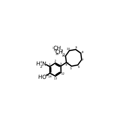 Nc1cc([C]2CCCCCCC2)ccc1O.[CH2].[CH2]